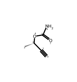 C#C[C@H](C)OC(N)=O